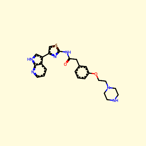 O=C(Cc1cccc(OCCN2CCNCC2)c1)Nc1nc(-c2c[nH]c3ncccc23)cs1